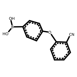 N#Cc1ccccc1Oc1ccc(B(O)O)cc1